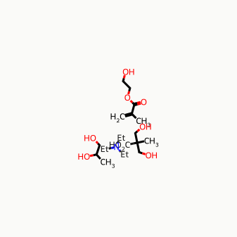 C=C(C)C(=O)OCCO.CC(CO)(CO)C(=O)O.CC(O)CO.CCN(CC)CC